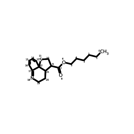 CCCCCCOC(=O)C1CSC23C=CC=CC2=NCCC13